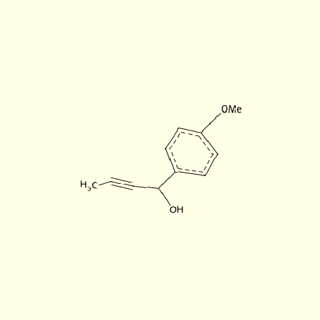 CC#CC(O)c1ccc(OC)cc1